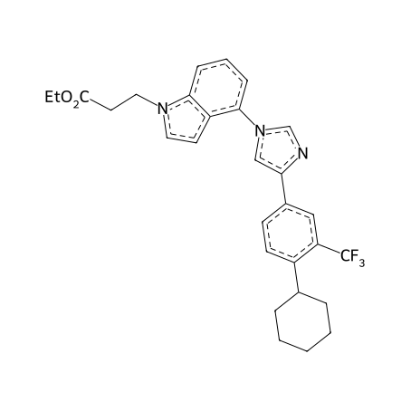 CCOC(=O)CCn1ccc2c(-n3cnc(-c4ccc(C5CCCCC5)c(C(F)(F)F)c4)c3)cccc21